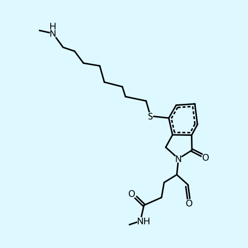 CNCCCCCCCCSc1cccc2c1CN(C(C=O)CCC(=O)NC)C2=O